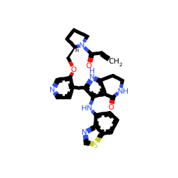 C=CC(=O)N1CCC[C@@H]1COc1cnccc1-c1[nH]c2c(c1Nc1cccc3scnc13)C(=O)NCC2